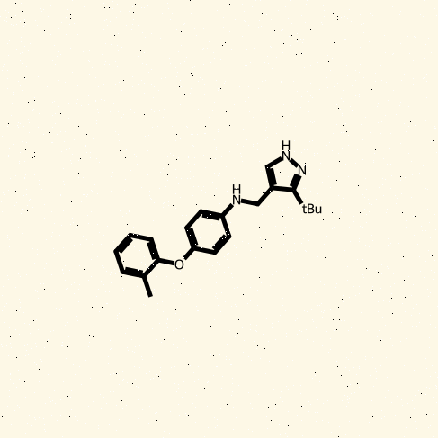 Cc1ccccc1Oc1ccc(NCc2c[nH]nc2C(C)(C)C)cc1